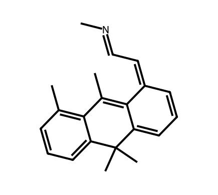 C/N=C/C=c1/cccc2c1=C(C)c1c(C)cccc1C2(C)C